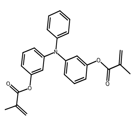 C=C(C)C(=O)Oc1cccc(N(c2ccccc2)c2cccc(OC(=O)C(=C)C)c2)c1